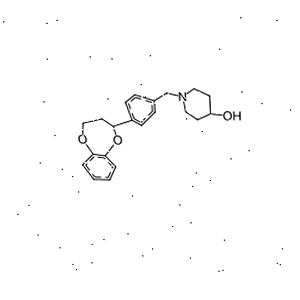 OC1CCN(Cc2ccc(C3CCOc4ccccc4O3)cc2)CC1